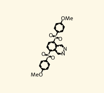 COc1ccc(S(=O)(=O)c2ccc(S(=O)(=O)c3ccc(OC)cc3)c3cnncc23)cc1